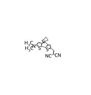 CN(C)c1cc2c(s1)-c1sc(C=C(C#N)C#N)cc1[Si]21CCC1